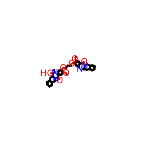 COc1cc2c(cc1OCCCOc1cc3c(cc1OC)C(=O)N1Cc4ccccc4CC1C(O)N3C)N=CC1(C)Cc3ccccc3CN1C2=O